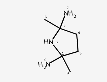 CC1(N)CCC(C)(N)N1